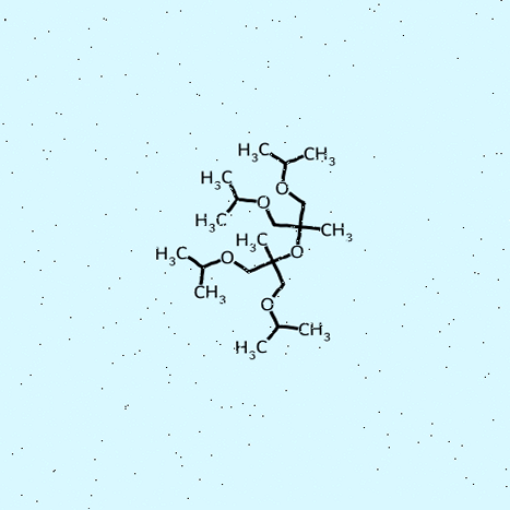 CC(C)OCC(C)(COC(C)C)OC(C)(COC(C)C)COC(C)C